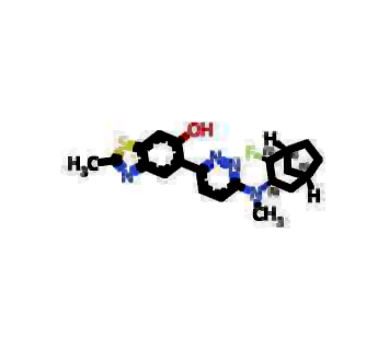 Cc1nc2cc(-c3ccc(N(C)[C@@H]4C[C@H]5CC[C@H](C5)[C@@H]4F)nn3)c(O)cc2s1